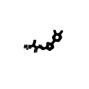 Cc1ccc(-c2ccc(C=NNC(N)=S)o2)cc1C